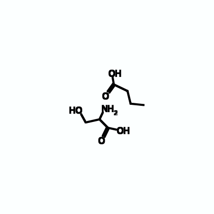 CCCC(=O)O.NC(CO)C(=O)O